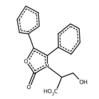 O=C(O)C(CO)n1c(-c2ccccc2)c(-c2ccccc2)oc1=O